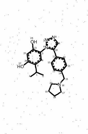 CC(C)c1cc(-n2nncc2-c2ccc(CN3CCCC3)cc2)c(O)cc1O